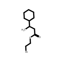 C[C](CC(=O)OCCC(C)=O)C1CCCCC1